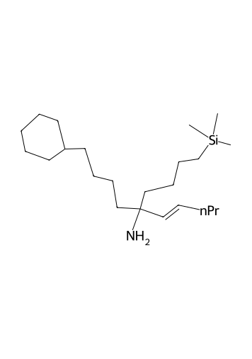 CCC/C=C/C(N)(CCCCC1CCCCC1)CCCC[Si](C)(C)C